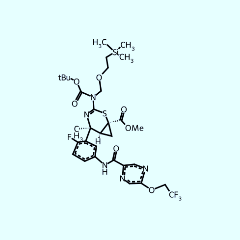 COC(=O)[C@]12C[C@H]1[C@@](C)(c1cc(NC(=O)c3cnc(OCC(F)(F)F)cn3)ccc1F)N=C(N(COCC[Si](C)(C)C)C(=O)OC(C)(C)C)S2